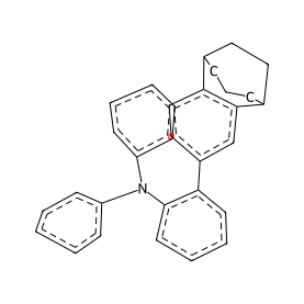 c1ccc(N(c2ccccc2)c2ccccc2-c2ccc3c(c2)C2CCCC3CC2)cc1